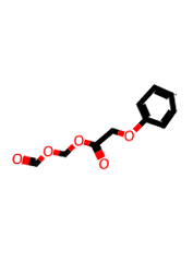 O=COCOC(=O)COc1cc[c]cc1